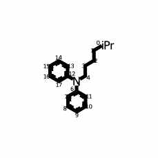 CC(C)CCCCN(c1ccccc1)c1ccccc1